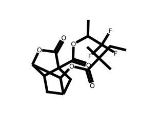 CCC(C)(C)C(=O)OC1C2CC3C1OC(=O)C3(C(=O)OC(C)C(F)(F)F)C2